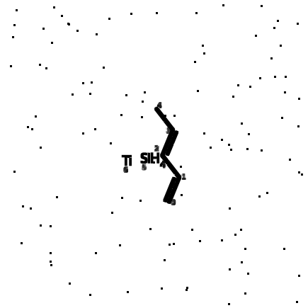 C=C/C=C/C.[SiH4].[Ti]